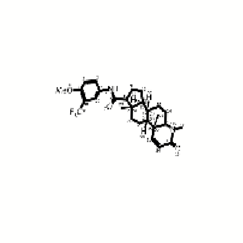 COc1ccc(NC(=O)C2CC[C@H]3[C@@H]4CCC5N(C)C(=O)C=C[C@]5(C)[C@@H]4CC[C@]23C)cc1C(F)(F)F